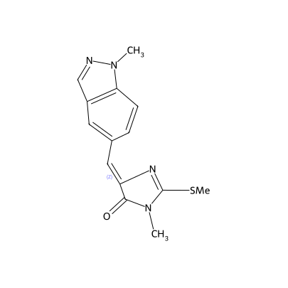 CSC1=N/C(=C\c2ccc3c(cnn3C)c2)C(=O)N1C